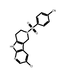 N#Cc1ccc(S(=O)(=O)N2CCc3[nH]c4ncc(Cl)cc4c3C2)cc1